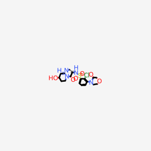 NC[C@H](NS(=O)(=O)c1cccc(N2CCOCC2=O)c1Cl)C(=O)N1CCC(O)CC1